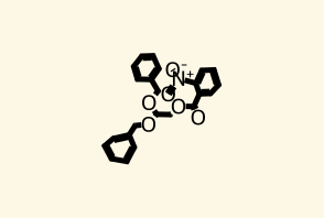 O=C(OCC(OCc1ccccc1)OCc1ccccc1)c1ccccc1[N+](=O)[O-]